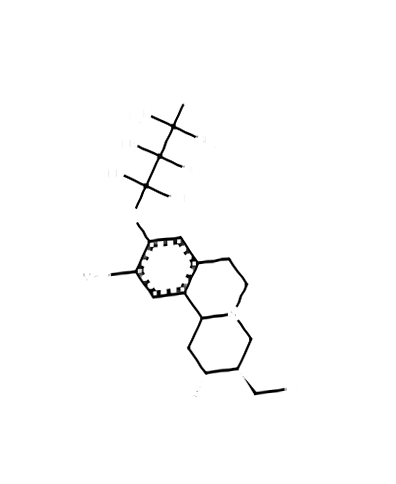 BC(B)(F)C(B)(B)C(B)(B)Oc1cc2c(cc1OC)C1C[C@@H](O)[C@H](CC(C)C)CN1CC2